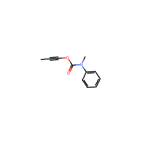 CC#COC(=O)N(C)c1ccccc1